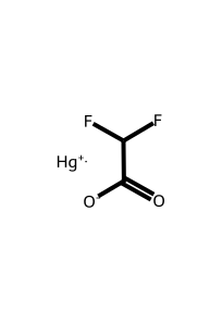 O=C([O-])C(F)F.[Hg+]